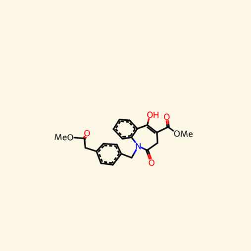 COC(=O)Cc1ccc(CN2C(=O)CC(C(=O)OC)=C(O)c3ccccc32)cc1